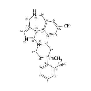 CCCc1ccccc1C1(C)CCN(c2ncc3n2-c2ccc(Cl)cc2CNC3)CC1